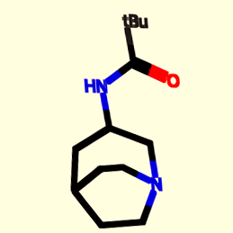 CC(C)(C)C(=O)NC1CC2CCN(CC2)C1